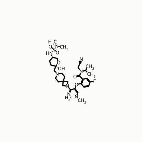 C=N/C=C(Oc1ccc(F)cc1C(=O)N(CC#N)C(C)C)\C(=N/C)N1CC2(CCN(C[C@@]3(O)CC[C@@H](NS(=O)(=O)N(C)C)CO3)CC2)C1